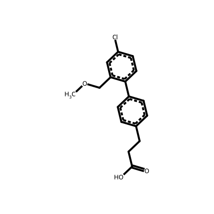 COCc1cc(Cl)ccc1-c1ccc(CCC(=O)O)cc1